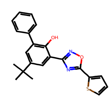 CC(C)(C)c1cc(-c2ccccc2)c(O)c(-c2noc(-c3cccs3)n2)c1